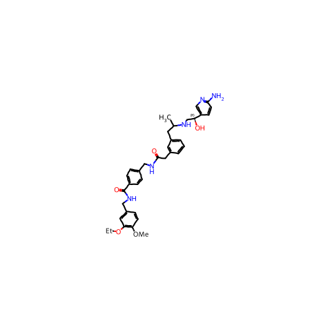 CCOc1cc(CNC(=O)c2ccc(CNC(=O)Cc3cccc(CC(C)NC[C@H](O)c4ccc(N)nc4)c3)cc2)ccc1OC